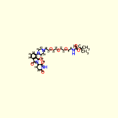 CC(C)(C)OC(=O)NCCOCCOCCOCCN1CCN(c2cccc3c2C(=O)N(C2CCC(=O)NC2=O)C3=O)CC1